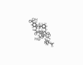 CC(=O)[C@H](Cn1cc(C2CC2)nn1)NC(=O)[C@H](Cc1cccc(C(F)(F)F)c1)NC(=O)[C@H](CC(=O)O)NC(=O)[C@@H](C)Cc1ccc(C(=O)O)cc1